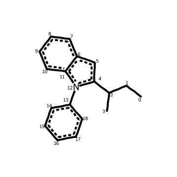 CCC(C)c1cc2ccccc2n1-c1ccccc1